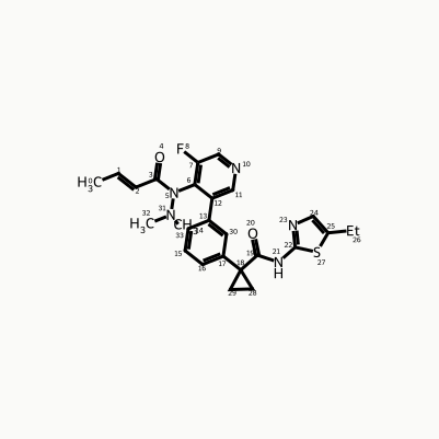 C/C=C/C(=O)N(c1c(F)cncc1-c1cccc(C2(C(=O)Nc3ncc(CC)s3)CC2)c1)N(C)C